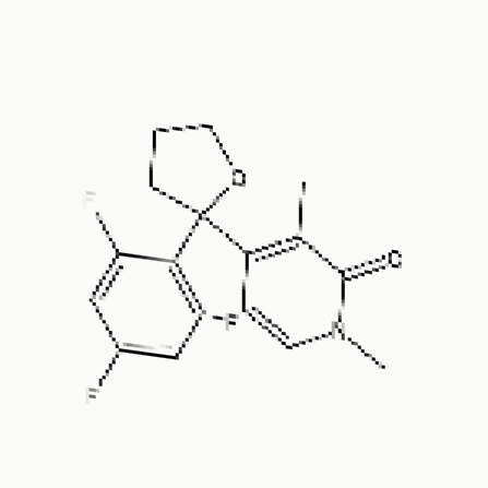 Cc1c(C2(c3c(F)cc(F)cc3F)CCCO2)ccn(C)c1=O